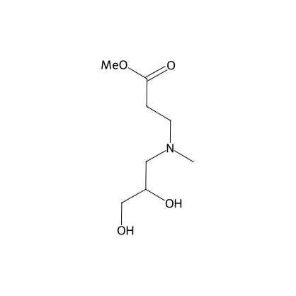 COC(=O)CCN(C)CC(O)CO